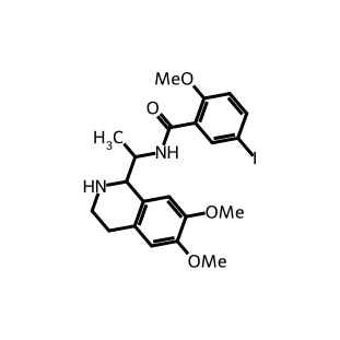 COc1cc2c(cc1OC)C(C(C)NC(=O)c1cc(I)ccc1OC)NCC2